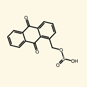 O=C1c2ccccc2C(=O)c2c(COS(=O)O)cccc21